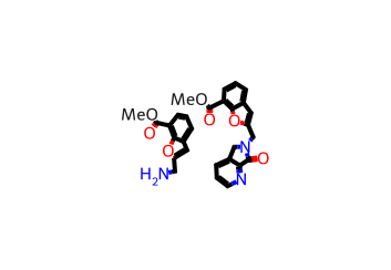 COC(=O)c1cccc2cc(CN)oc12.COC(=O)c1cccc2cc(CN3Cc4cccnc4C3=O)oc12